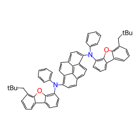 CC(C)(C)Cc1cccc2c1oc1c(N(c3ccccc3)c3ccc4ccc5c(N(c6ccccc6)c6cccc7c6oc6c(CC(C)(C)C)cccc67)ccc6ccc3c4c65)cccc12